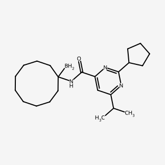 BC1(NC(=O)c2cc(C(C)C)nc(C3CCCC3)n2)CCCCCCCCC1